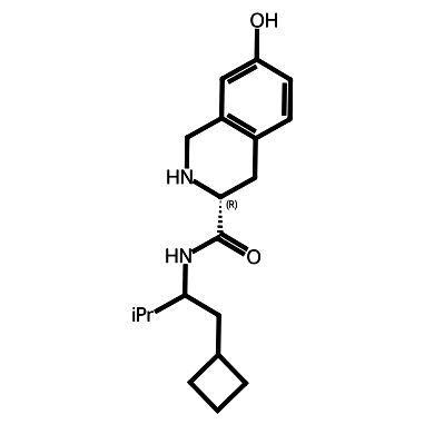 CC(C)C(CC1CCC1)NC(=O)[C@H]1Cc2ccc(O)cc2CN1